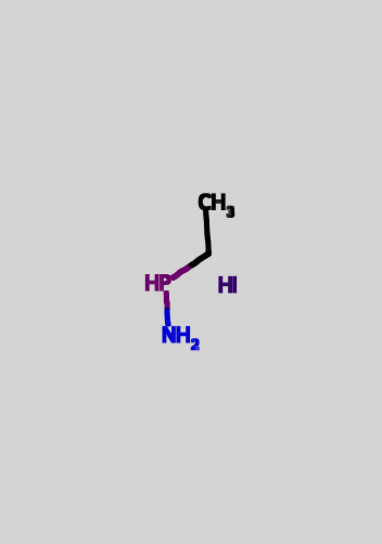 CCPN.I